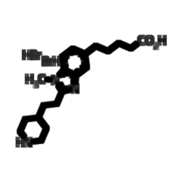 Br.Br.Cn1c(CCC2CCNCC2)nc2cc(CCCCC(=O)O)ccc21